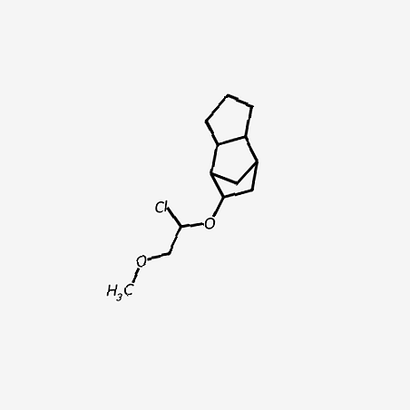 COCC(Cl)OC1CC2CC1C1CCCC21